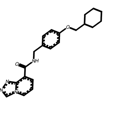 O=C(NCc1ccc(OCC2CCCCC2)cc1)c1cccn2cnnc12